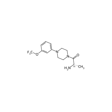 C[C@H](N)C(=O)N1CCN(c2cccc(OC(F)(F)F)c2)CC1